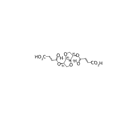 O=C(O)C=CC(=O)O[C@@H]1CO[C@H]2[C@@H]1OC[C@H]2OC(=O)C=CC(=O)O